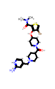 CN(C)C(=O)c1scc(Br)c1OC1CCN(C(=O)C2CCN(Cc3ccnc(N)c3)CC2)CC1